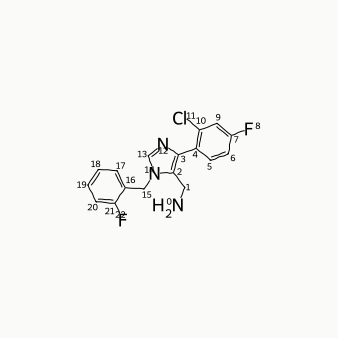 NCc1c(-c2ccc(F)cc2Cl)ncn1Cc1ccccc1F